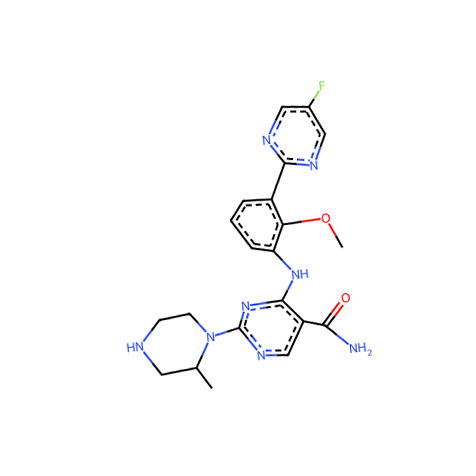 COc1c(Nc2nc(N3CCNCC3C)ncc2C(N)=O)cccc1-c1ncc(F)cn1